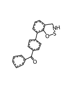 O=C(c1ccccc1)c1ccc(-c2cccc3c2OSNC3)cc1